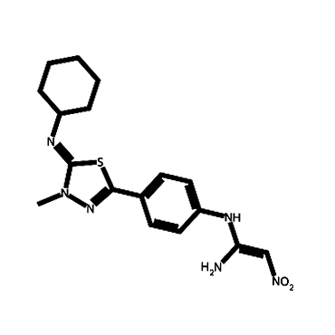 Cn1nc(-c2ccc(NC(N)=C[N+](=O)[O-])cc2)sc1=NC1CCCCC1